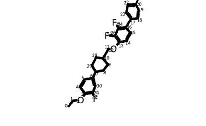 CCOc1ccc(C2CCC(COc3ccc(-c4ccc(C)cc4)c(F)c3F)CC2)cc1F